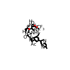 CC(=O)c1nn2c3c(cc(-c4cnc5cc(C)nn5c4)cc13)CCCCCCC(=O)NC[C@@]13C[C@@H](C(=O)Nc4nc(C(F)(F)F)ccc4C)N(C(=O)C2)[C@@H]1C3